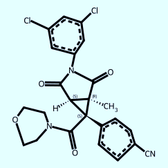 C[C@@]12C(=O)N(c3cc(Cl)cc(Cl)c3)C(=O)[C@@H]1[C@]2(C(=O)N1CCOCC1)c1ccc(C#N)cc1